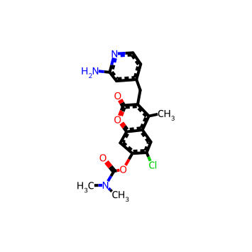 Cc1c(Cc2ccnc(N)c2)c(=O)oc2cc(OC(=O)N(C)C)c(Cl)cc12